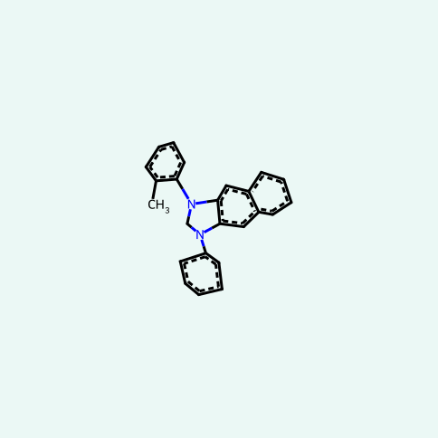 Cc1ccccc1N1CN(c2ccccc2)c2cc3ccccc3cc21